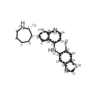 C[C@H]1NCCCC[C@H]1c1cc2c(Nc3cc4ncsc4cc3F)ccnc2s1